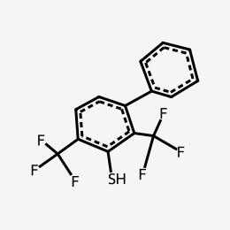 FC(F)(F)c1ccc(-c2ccccc2)c(C(F)(F)F)c1S